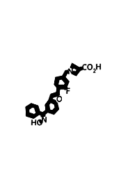 O=C(O)C1CN(Cc2ccc(-c3cc4cc(C(=NO)c5ccccc5)ccc4o3)c(F)c2)C1